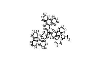 CC1(c2ccccc2)c2ccccc2-c2cc(N(c3ccc4c(c3)-c3ccccc3C43c4ccccc4-c4ccccc43)c3ccc4c5ccccc5c5ccccc5c4c3)ccc21